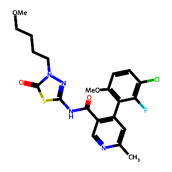 COCCCCn1nc(NC(=O)c2cnc(C)cc2-c2c(OC)ccc(Cl)c2F)sc1=O